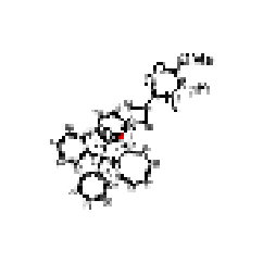 COC(=O)[C@H](C(C)C)N(C)C(=O)C1CN(C(=O)C2=CC=CC=CN2C(c2ccccc2)(c2ccccc2)c2ccccc2)C1